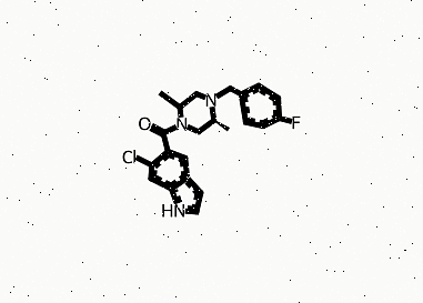 CC1CN(Cc2ccc(F)cc2)[C@@H](C)CN1C(=O)c1cc2cc[nH]c2cc1Cl